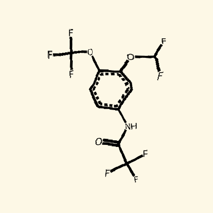 O=C(Nc1ccc(OC(F)(F)F)c(OC(F)F)c1)C(F)(F)F